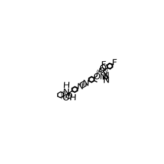 Cc1cc(N2CCN(c3ccc(C(=O)N[C@H]4CCCC[C@H]4O)cc3)CC2)ccc1OC[C@@H]1CO[C@@](Cn2cncn2)(c2ccc(F)cc2F)C1